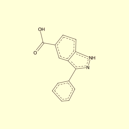 O=C(O)c1ccc2[nH]nc(-c3ccccc3)c2c1